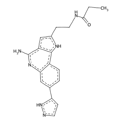 CCC(=O)NCCc1cc2c(N)nc3cc(-c4ccn[nH]4)ccc3c2[nH]1